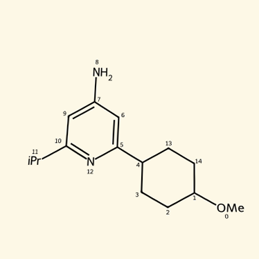 COC1CCC(c2cc(N)cc(C(C)C)n2)CC1